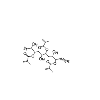 C=C(C)C(=O)OC(CCCCCCC)C(O)CC(OC(=O)C(=C)C)C(O)CC(OC(=O)C(=C)C)C(O)CC